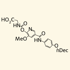 CCCCCCCCCCOc1ccc(NC(=O)c2cnc(OC(=O)NCC(=O)O)c(OC)c2)cc1